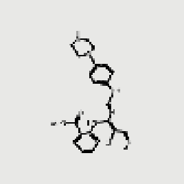 C\N=C/C(Cl)=C(\N=C\Nc1ccc(N2CCNCC2)cc1)Nc1ccccc1C(=O)NC